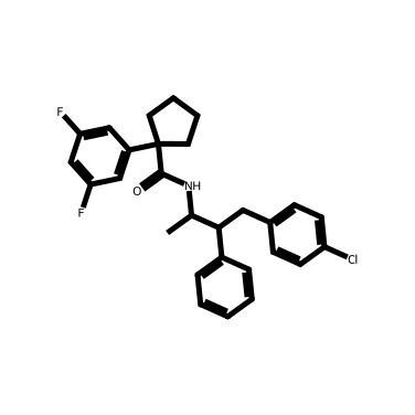 CC(NC(=O)C1(c2cc(F)cc(F)c2)CCCC1)C(Cc1ccc(Cl)cc1)c1ccccc1